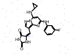 O=C1NC(=O)/C(=C\c2cnn3c(NC4CC4)cc(Nc4cccc(F)c4)nc23)N1